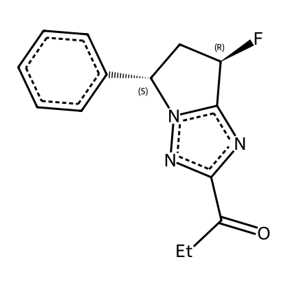 CCC(=O)c1nc2n(n1)[C@H](c1ccccc1)C[C@H]2F